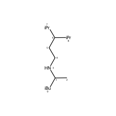 CCC(C)C(C)NCCC(C(C)C)C(C)C